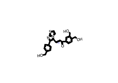 O=C(/C=C/c1c(-c2ccc(CO)cc2)nc2sccn12)c1ccc(CO)c(CO)c1